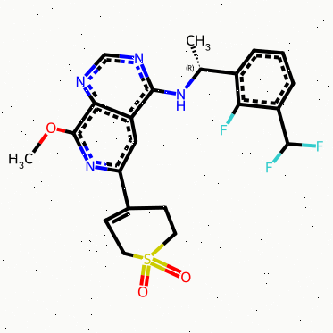 COc1nc(C2=CCS(=O)(=O)CC2)cc2c(N[C@H](C)c3cccc(C(F)F)c3F)ncnc12